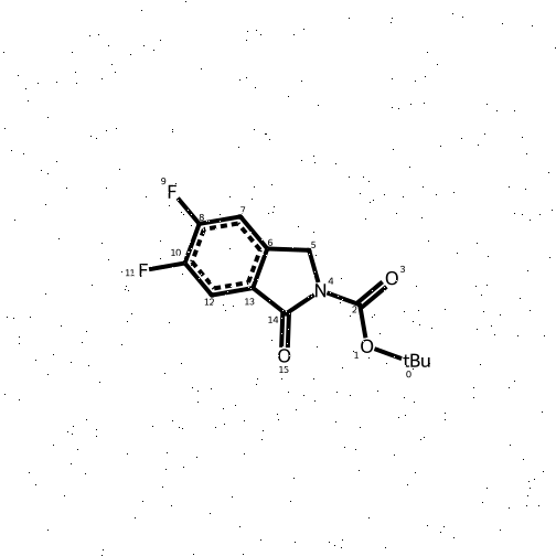 CC(C)(C)OC(=O)N1Cc2cc(F)c(F)cc2C1=O